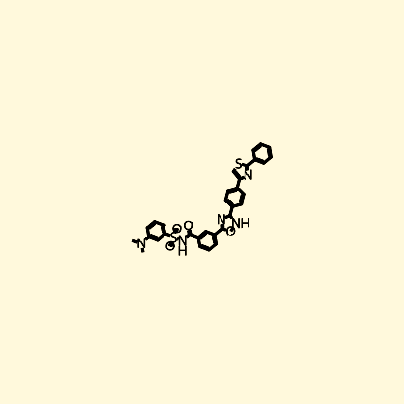 CN(C)c1cccc(S(=O)(=O)NC(=O)c2cccc(C3=NC(c4ccc(-c5csc(-c6ccccc6)n5)cc4)NO3)c2)c1